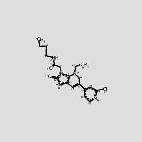 CCCCNC(=O)Cn1c2c([nH]c1=O)C=C(c1ccnc(Cl)c1)CN2CC